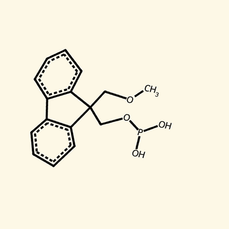 COCC1(COP(O)O)c2ccccc2-c2ccccc21